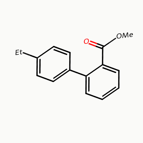 CCc1ccc(-c2ccccc2C(=O)OC)cc1